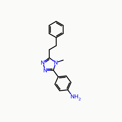 Cn1c(CCc2ccccc2)nnc1-c1ccc(N)cc1